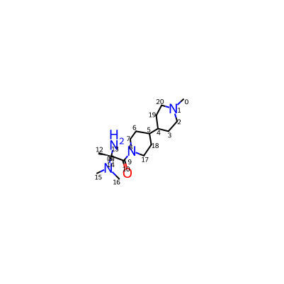 CN1CCC(C2CCN(C(=O)[C@@](C)(N)N(C)C)CC2)CC1